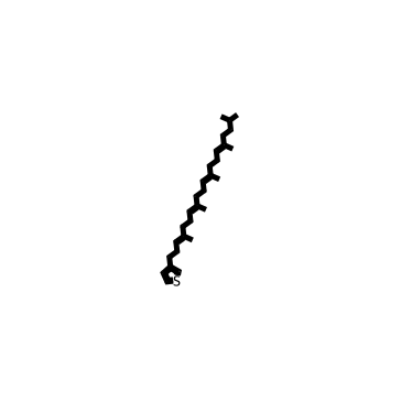 C/C(=C\CC/C(C)=C/CCc1ccsc1)CC/C=C(\C)CC/C=C(\C)CCC(C)C